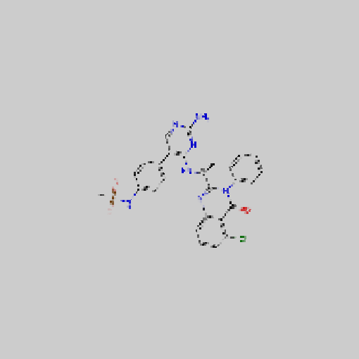 C[C@H](Nc1nc(N)ncc1-c1ccc(NS(C)(=O)=O)cc1)c1nc2cccc(Cl)c2c(=O)n1-c1ccccc1